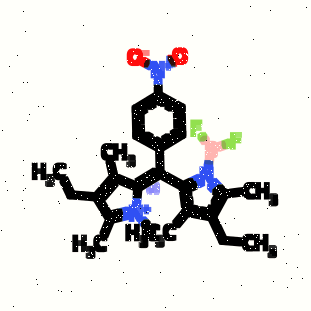 CCC1=C(C)/C(=C(\c2ccc([N+](=O)[O-])cc2)c2c(C)c(CC)c(C)n2B(F)F)[N+](C)=C1C